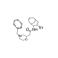 CCC1CC2CCCC(C2)C1NC(=O)CC1CN(Cc2ccccc2)CCO1